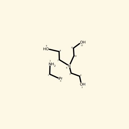 CC(C)CN.OCCN(CCO)CCO